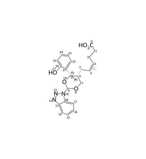 O=C(O)CC/C=C\C[C@@H]1COC(n2nnc3ccccc32)O[C@@H]1c1ccccc1O